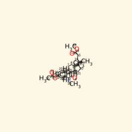 C/C=C1\C(=O)[C@@H]2[C@H](CC[C@]3(C)[C@@H]([C@H](C)CCC(=O)OC)CC[C@@H]23)[C@@]2(C)CC[C@@H](OC(C)=O)C[C@@H]12